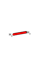 C=CCOCCOCCOCCOCCOCCOCCOCCOCCOCCOCCOCCOCCOCCOCCOCCOCCOCCOCCOCCOCCOCCOCCOC